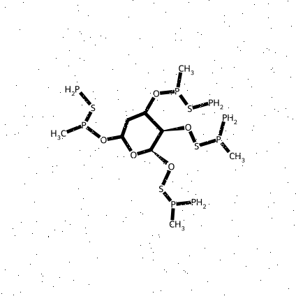 CP(P)SO[C@H]1OC(OP(C)SP)CC(OP(C)SP)[C@H]1OSP(C)P